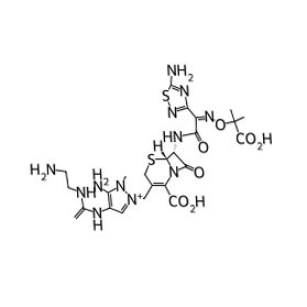 C=C(NCCN)Nc1c[n+](CC2=C(C(=O)O)N3C(=O)[C@@H](NC(=O)/C(=N\OC(C)(C)C(=O)O)c4nsc(N)n4)[C@H]3SC2)n(C)c1N